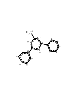 Cc1nc(-c2ccccc2)nc(-c2ccncc2)n1